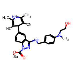 CC1=C(C#N)C(c2ccc3c(c2)c(NCc2ccc(N(C)CCO)cc2)nn3C(=O)OC(C)(C)C)C(C#N)=C(C)N1